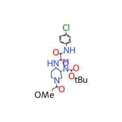 COCC(=O)N1CCC(NC(=O)C(=O)Nc2ccc(Cl)cc2)C(NC(=O)OC(C)(C)C)C1